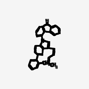 C/C=C\C=C/c1cn(-c2cccc3c2-c2ccccc2B3)c2ccc(-c3ccccc3C)cc12